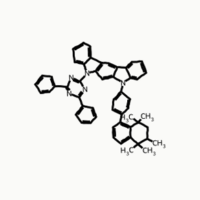 CC1CC(C)(C)c2c(-c3ccc(-n4c5ccccc5c5cc6c7ccccc7n(-c7nc(-c8ccccc8)nc(-c8ccccc8)n7)c6cc54)cc3)cccc2C1(C)C